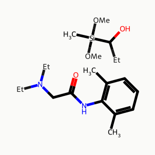 CCC(O)[Si](C)(OC)OC.CCN(CC)CC(=O)Nc1c(C)cccc1C